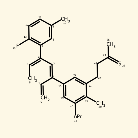 C=C/C(=C\C(=C/C)c1cc(C)ccc1F)c1cc(CCC)c(C)c(CCC(C)=S)c1